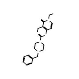 CCn1ccc2c(c1=O)CN=C(N1CCN(Cc3ccccc3)CC1)N2